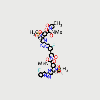 CNC(=O)c1c(-n2ccc(C)cc2=O)oc2cc(N(C)S(C)(=O)=O)c(-c3ccc4ncn5c6cc(-c7ccn(-c8oc9cc(N(C)S(C)(=O)=O)c(-c%10ccc%11ncn%12c%13cccc(F)c%13cc%12c%11n%10)cc9c8C(=O)NC)c(=O)c7)cc(F)c6cc5c4n3)cc12